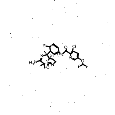 CC1(C)C(N)=N[C@](C)(C2C=C(NC(=O)c3ncc(OC(F)F)cc3Cl)C=CC2F)[C@@H]2CCN=[S@@]21=O